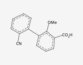 COc1c(C(=O)O)cccc1-c1ccccc1C#N